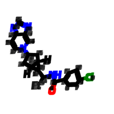 CCC(NC(=O)c1ccc(Cl)cc1)[C@H]1[C@@H]2C[C@@H](n3ccc4ncnc-4c3)C[C@@H]21